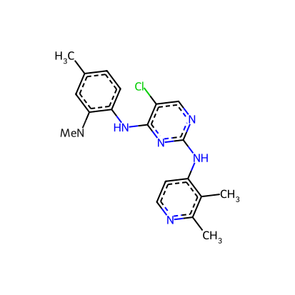 CNc1cc(C)ccc1Nc1nc(Nc2ccnc(C)c2C)ncc1Cl